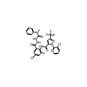 Cc1cc(Cl)cc(C(=O)NNC(=O)N(C)c2ccccc2)c1NC(=O)c1cc(C(F)(F)F)nn1-c1ncccc1Cl